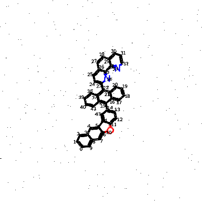 c1ccc2cc3c(cc2c1)oc1ccc(-c2c4ccccc4c(-c4ccc5ccc6cccnc6c5n4)c4ccccc24)cc13